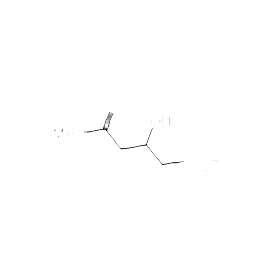 COC(=S)CC(O)CC(=O)O